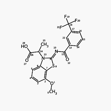 COc1cccc2c1sc(=NC(=O)c1cccc(C(F)(F)F)c1)n2C(C)C(=O)O